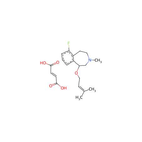 CC(C)=CCOC1CN(C)CCc2c(F)cccc21.O=C(O)C=CC(=O)O